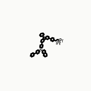 CC(C)CC(c1ccc(-c2ccc3c(c2)c2cc(-c4ccc(N(c5ccc(-c6ccccc6)cc5)c5ccc6ccccc6c5)cc4)ccc2n3-c2ccccc2)cc1)C(C)C